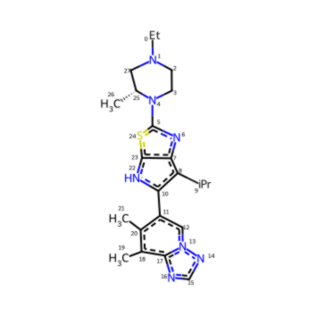 CCN1CCN(c2nc3c(C(C)C)c(-c4cn5ncnc5c(C)c4C)[nH]c3s2)[C@H](C)C1